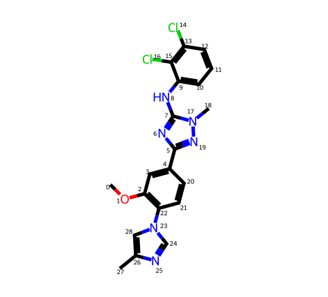 COc1cc(-c2nc(Nc3cccc(Cl)c3Cl)n(C)n2)ccc1-n1cnc(C)c1